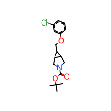 CC(C)(C)OC(=O)N1CC2C(COc3cccc(Cl)c3)C2C1